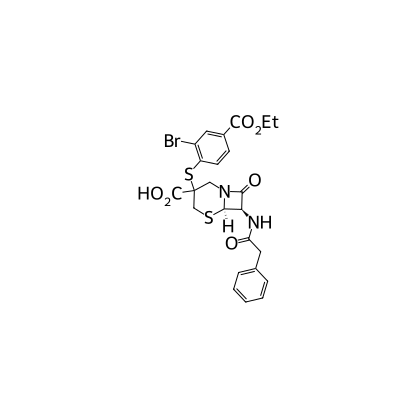 CCOC(=O)c1ccc(SC2(C(=O)O)CS[C@@H]3[C@H](NC(=O)Cc4ccccc4)C(=O)N3C2)c(Br)c1